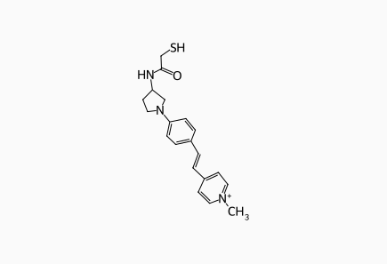 C[n+]1ccc(/C=C/c2ccc(N3CCC(NC(=O)CS)C3)cc2)cc1